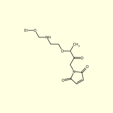 CCOCNCCOC(C)C(=O)CN1C(=O)C=CC1=O